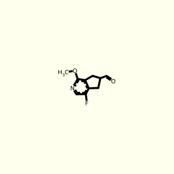 COc1ncc(F)c2c1CC(C=O)C2